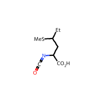 CCC(CC(N=C=O)C(=O)O)SC